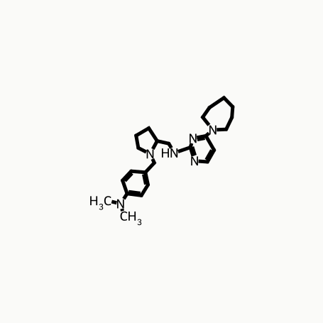 CN(C)c1ccc(CN2CCCC2CNc2nccc(N3CCCCCC3)n2)cc1